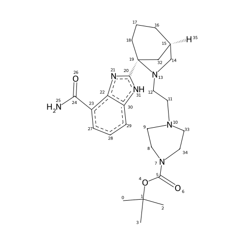 CC(C)(C)OC(=O)N1CCN(CCN2C[C@@H]3CCC[C@@]2(c2nc4c(C(N)=O)cccc4[nH]2)C3)CC1